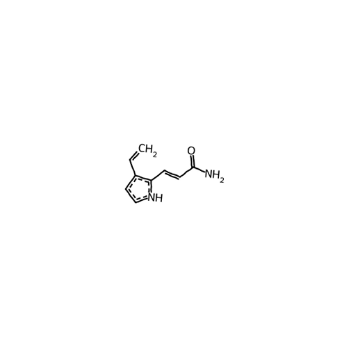 C=Cc1cc[nH]c1C=CC(N)=O